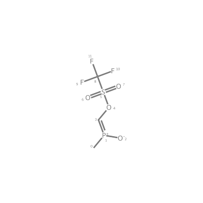 C/[P+]([O-])=C/OS(=O)(=O)C(F)(F)F